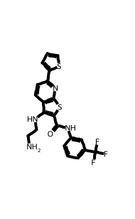 NCCNc1c(C(=O)Nc2cccc(C(F)(F)F)c2)sc2nc(-c3cccs3)ccc12